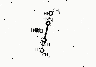 C[C@@H]1CN[C@H](c2nc3sc(C#CC#Cc4cc5[nH]c([C@@H]6C[C@H](C)CN6)nc5s4)cc3[nH]2)C1.Cl.Cl.Cl.Cl